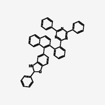 c1ccc(-c2nc(-c3ccccc3)nc(-c3ccccc3-c3ccc4ccccc4c3-c3ccc4c(c3)NC(c3ccccc3)O4)n2)cc1